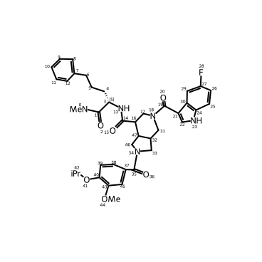 CNC(=O)[C@H](CCCc1ccccc1)NC(=O)C1CN(C(=O)c2c[nH]c3ccc(F)cc23)CC2CN(C(=O)c3ccc(OC(C)C)c(OC)c3)CC21